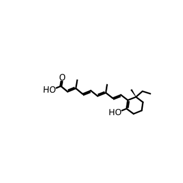 CC[C@]1(C)CCCC(O)=C1/C=C/C(C)=C/C=C/C(C)=C/C(=O)O